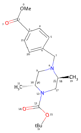 COC(=O)c1ccc(CN2C[C@@H](C)N(C(=O)OC(C)(C)C)C[C@@H]2C)cc1